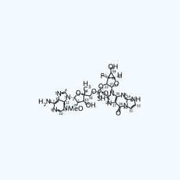 CO[C@H]1[C@H](n2cnc3c(N)ncnc32)O[C@](C)(COP(=O)(S)OC2[C@H](n3cnc4c(=O)n5cc[nH]c5nc43)O[C@@H]3C(O)[C@]23F)[C@H]1O